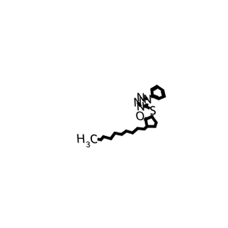 CCCCCCCCCCC1CCC(Sc2nnnn2-c2ccccc2)C1=O